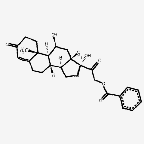 C[C@]12CCC(=O)C=C1CC[C@@H]1[C@@H]2[C@@H](O)C[C@@]2(C)[C@H]1CC[C@]2(O)C(=O)COC(=O)c1ccccc1